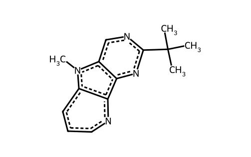 Cn1c2cccnc2c2nc(C(C)(C)C)ncc21